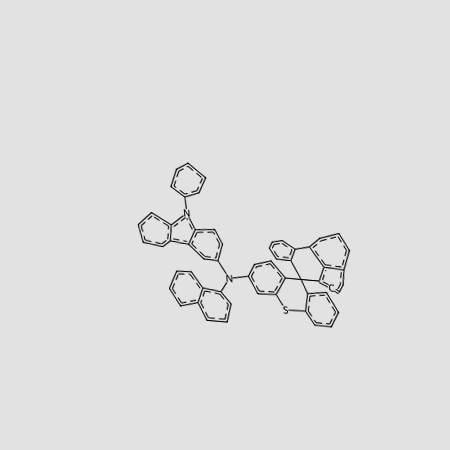 c1ccc(-n2c3ccccc3c3cc(N(c4ccc5c(c4)Sc4ccccc4C54c5ccccc5-c5cccc6cccc4c56)c4cccc5ccccc45)ccc32)cc1